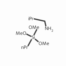 CC(C)CN.CCC[Si](OC)(OC)OC